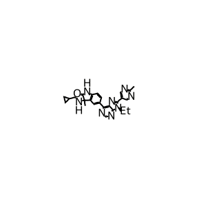 CCn1c(-c2cnc(C)nc2)nc2c(-c3ccc4c(c3)C(C)(NCC3CC3)C(=O)N4)ncnc21